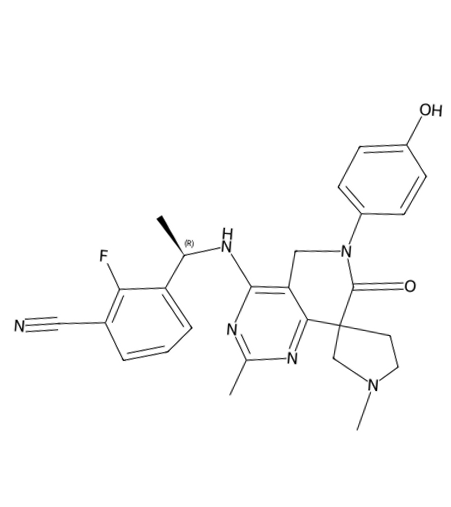 Cc1nc(N[C@H](C)c2cccc(C#N)c2F)c2c(n1)C1(CCN(C)C1)C(=O)N(c1ccc(O)cc1)C2